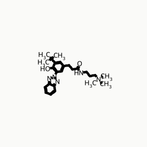 CC(C)(C)c1cc(CCC(=O)NCCC[N+](C)(C)C)cc(-n2nc3ccccc3n2)c1O